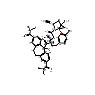 CN(C)C(=O)c1ccc2c(c1)CCc1cc(C(=O)N(C)C)ccc1C2(C[C@@H](Cc1ccc(F)cc1)NCC(=O)N1[C@H](C#N)C[C@@H]2C[C@@H]21)c1nnn[nH]1